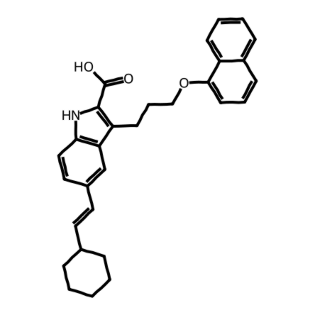 O=C(O)c1[nH]c2ccc(/C=C/C3CCCCC3)cc2c1CCCOc1cccc2ccccc12